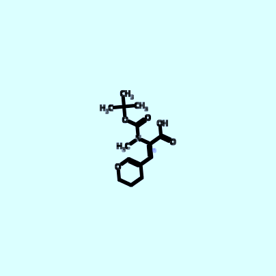 CN(C(=O)OC(C)(C)C)/C(=C\C1=COCCC1)C(=O)O